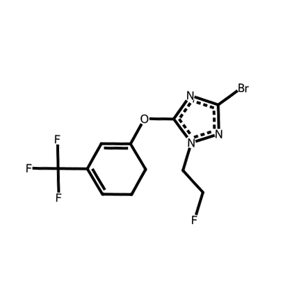 FCCn1nc(Br)nc1OC1=CC(C(F)(F)F)=CCC1